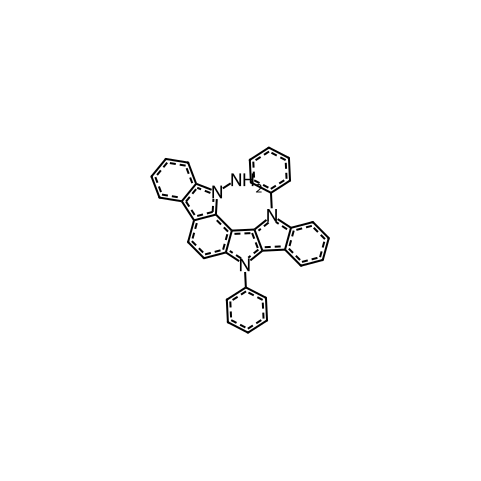 Nn1c2ccccc2c2ccc3c(c21)c1c(c2ccccc2n1-c1ccccc1)n3-c1ccccc1